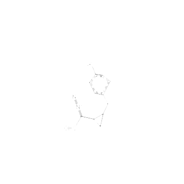 [N-]=[N+]=C(C=O)C1CC1Cc1ccc(Br)cc1